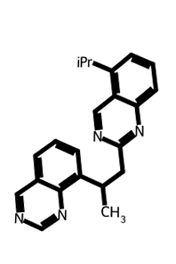 CC(C)c1cccc2nc(CC(C)c3cccc4cncnc34)ncc12